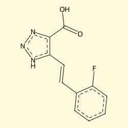 O=C(O)c1nn[nH]c1C=Cc1ccccc1F